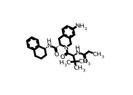 C[CH]C(=O)N[C@H](C(=O)N1Cc2cc(N)ccc2C[C@H]1C(=O)N[C@@H]1CCCc2ccccc21)C(C)(C)C